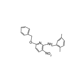 Cc1ccc(C)c(CNc2nc(OCc3ccccc3)ccc2[N+](=O)[O-])c1